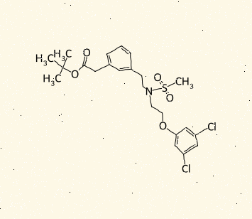 CC(C)(C)OC(=O)Cc1cccc(CCN(CCOc2cc(Cl)cc(Cl)c2)S(C)(=O)=O)c1